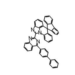 c1ccc(-c2ccc(-c3nc(-c4nc5cccc6c5n4-c4ccccc4C64c5ccccc5-c5ccccc54)nc4ccccc34)cc2)cc1